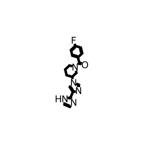 O=C(c1ccc(F)cc1)N1CCCC(n2cnc(-c3ncc[nH]3)c2)C1